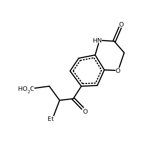 CCC(CC(=O)O)C(=O)c1ccc2c(c1)OCC(=O)N2